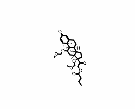 CCCC(=O)OCC(=O)[C@@]1(OCOC)CC[C@H]2[C@@H]3CCC4=CC(=O)C=C[C@]4(C)[C@H]3C(OCOC)C[C@@]21C